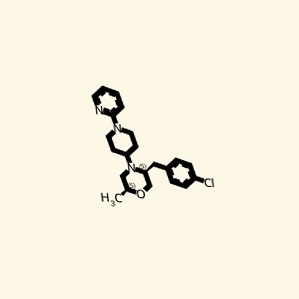 C[C@H]1CN(C2CCN(c3ccccn3)CC2)[C@@H](Cc2ccc(Cl)cc2)CO1